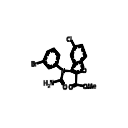 COC(=O)c1oc2ccc(Cl)cc2c1N(C(N)=O)c1cccc(Br)c1